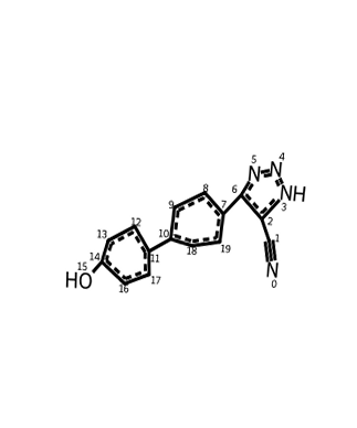 N#Cc1[nH]nnc1-c1ccc(-c2ccc(O)cc2)cc1